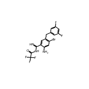 N=C(NC(=O)C(F)(F)F)c1cc(Cc2cc(F)cc(F)c2)c(Br)cc1N